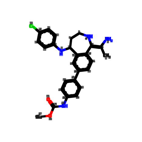 C/C(N)=C1/NCCC(Nc2ccc(Cl)cc2)c2cc(-c3ccc(NC(=O)OC(C)(C)C)cc3)ccc21